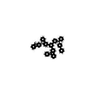 c1ccc(-c2ccc(N(c3ccccc3)c3cccc(-c4cc(-c5ccc6c(c5)c5ccccc5n6-c5ccc6c(c5)sc5ccccc56)cc(-c5ccc6c7ccccc7n(-c7ccccc7)c6c5)c4)c3)cc2)cc1